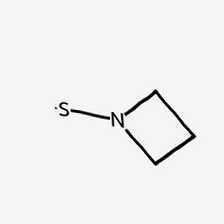 [S]N1CCC1